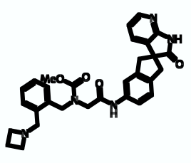 COC(=O)N(CC(=O)Nc1ccc2c(c1)CC1(C2)C(=O)Nc2ncccc21)Cc1ccccc1CN1CCC1